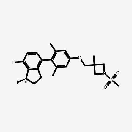 Cc1cc(OCC2(C)CN(S(C)(=O)=O)C2)cc(C)c1-c1ccc(F)c2c1CC[C@H]2I